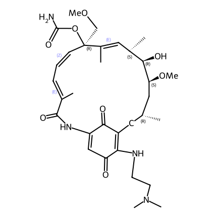 COC[C@@]1(OC(N)=O)/C=C\C=C(/C)C(=O)NC2=CC(=O)C(NCCN(C)C)=C(C[C@@H](C)C[C@H](OC)[C@H](O)[C@@H](C)/C=C/1C)C2=O